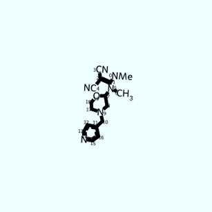 CNC(=C(C#N)C#N)N(C)C1CN(Cc2ccncc2)CCO1